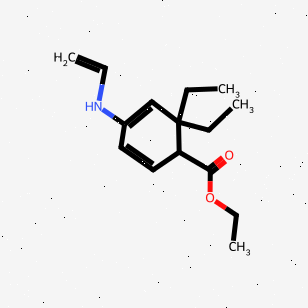 C=CNC1=CC(CC)(CC)C(C(=O)OCC)C=C1